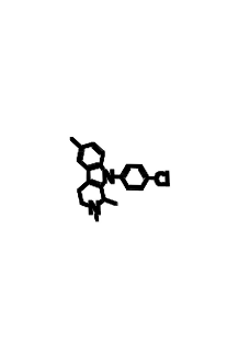 Cc1ccc2c(c1)c1c(n2-c2ccc(Cl)cc2)C(C)N(C)CC1